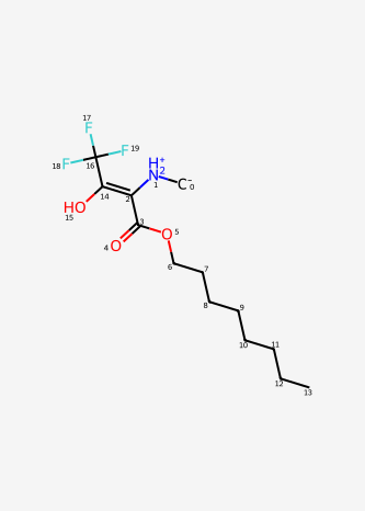 [CH2-][NH2+]/C(C(=O)OCCCCCCCC)=C(/O)C(F)(F)F